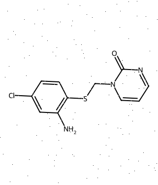 Nc1cc(Cl)ccc1SCn1cccnc1=O